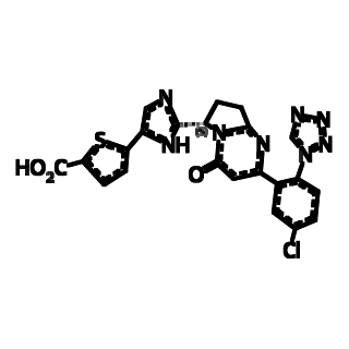 O=C(O)c1ccc(-c2cnc([C@@H]3CCc4nc(-c5cc(Cl)ccc5-n5cnnn5)cc(=O)n43)[nH]2)s1